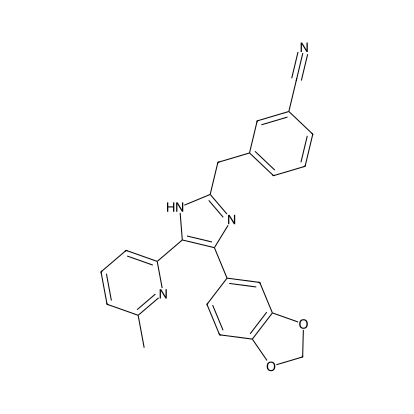 Cc1cccc(-c2[nH]c(Cc3cccc(C#N)c3)nc2-c2ccc3c(c2)OCO3)n1